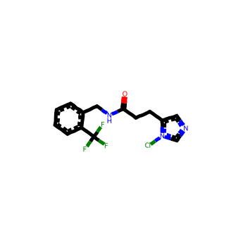 O=C(CCc1cncn1Cl)NCc1ccccc1C(F)(F)F